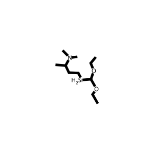 CCOC(OCC)[SiH2]CCC(C)N(C)C